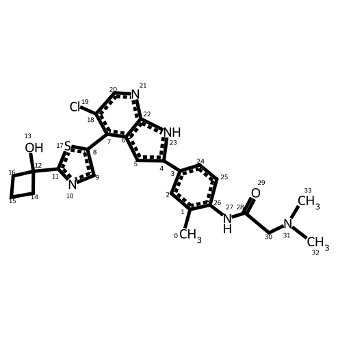 Cc1cc(-c2cc3c(-c4cnc(C5(O)CCC5)s4)c(Cl)cnc3[nH]2)ccc1NC(=O)CN(C)C